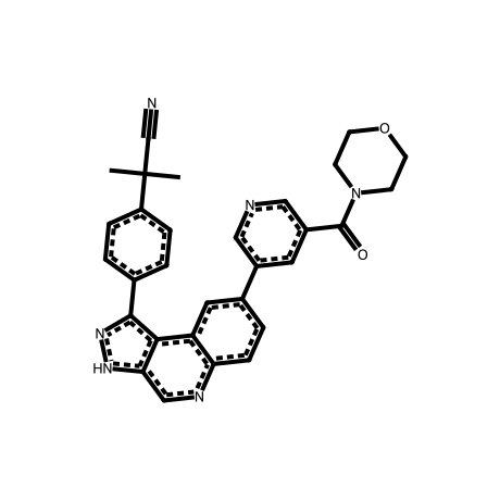 CC(C)(C#N)c1ccc(-c2n[nH]c3cnc4ccc(-c5cncc(C(=O)N6CCOCC6)c5)cc4c23)cc1